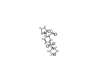 O=C(Cl)c1cc(S(=O)(=O)N2CCOCC2)ccc1N1CCCC1